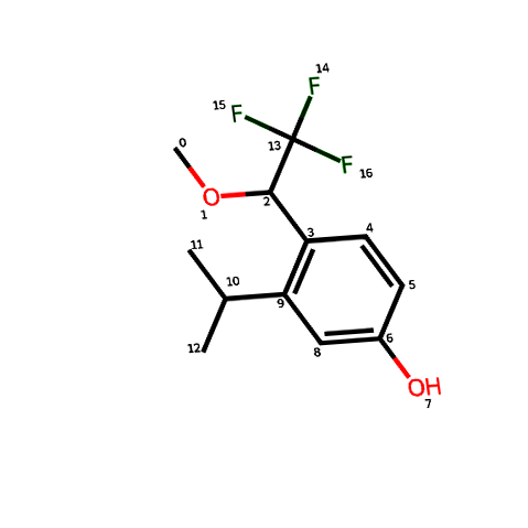 COC(c1ccc(O)cc1C(C)C)C(F)(F)F